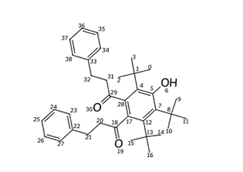 CC(C)(C)c1c(O)c(C(C)(C)C)c(C(C)(C)C)c(C(=O)CCc2ccccc2)c1C(=O)CCc1ccccc1